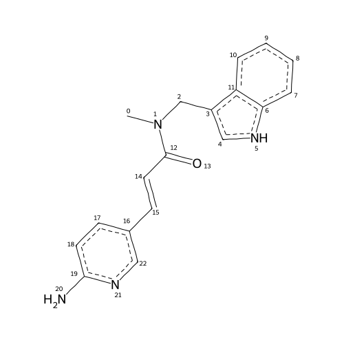 CN(Cc1c[nH]c2ccccc12)C(=O)C=Cc1ccc(N)nc1